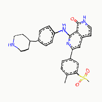 Cc1ccc(-c2cc3cc[nH]c(=O)c3c(Nc3ccc(C4CCNCC4)cc3)n2)cc1S(C)(=O)=O